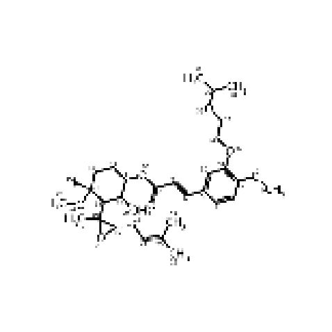 COc1ccc(/C=C/C(=O)O[C@@H]2CC[C@@](I)(OC)C(C3(C)O[C@H]3CC=C(C)C)[C@@H]2O)cc1OCCOC(C)C